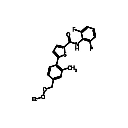 CCOOCc1ccc(-c2ccc(C(=O)Nc3c(F)cccc3F)s2)c(C)c1